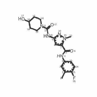 Cc1cc(NC(=O)c2cc(NC(=O)N3CCC(O)CC3)nn2C)ccc1F